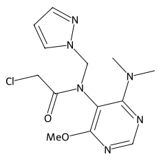 COc1ncnc(N(C)C)c1N(Cn1cccn1)C(=O)CCl